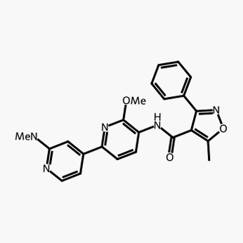 CNc1cc(-c2ccc(NC(=O)c3c(-c4ccccc4)noc3C)c(OC)n2)ccn1